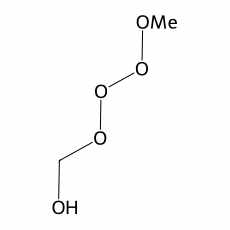 COOOOCO